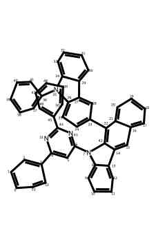 c1ccc(-c2cc(-n3c4ccccc4c4cc5ccccc5c(-c5ccc6c(c5)c5ccccc5n6-c5ccccc5)c43)nc(-c3ccccc3)n2)cc1